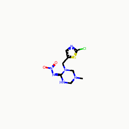 CN1CN/C(=N/[N+](=O)[O-])N(Cc2cnc(Cl)s2)C1